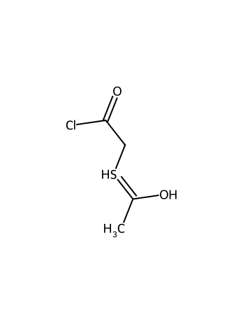 CC(O)=[SH]CC(=O)Cl